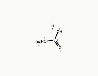 O=S(O)O.[Ba+2].[H+]